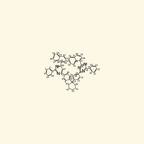 c1ccc(-c2nc(-c3ccc(C4(c5ccc(-c6nc(-c7ccccc7)nc(-c7cccc8ccccc78)n6)cc5)CCCCC4)cc3)cc(-c3cccc4ccccc34)n2)cc1